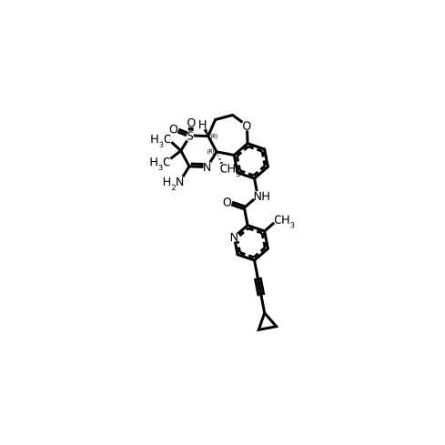 Cc1cc(C#CC2CC2)cnc1C(=O)Nc1ccc2c(c1)[C@@]1(C)N=C(N)C(C)(C)S(=O)(=O)[C@@H]1CCO2